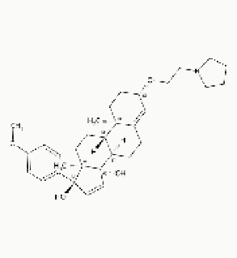 COc1ccc([C@@]2(O)C=C[C@]3(O)[C@@H]4CCC5=C[C@@H](OCCN6CCCC6)CC[C@]5(C)[C@H]4CC[C@]23C)cc1